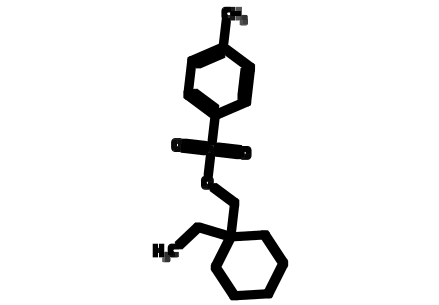 CCC1(COS(=O)(=O)c2ccc(C)cc2)CCCCC1